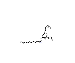 CCCCCCC(C/C=C\CCCCCCCC=O)OC(C)C